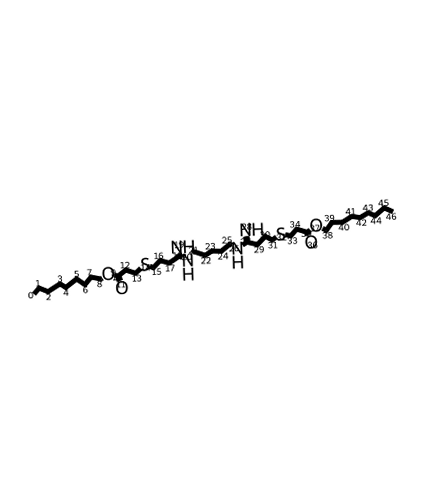 CCCCCCCCCOC(=O)CCSCCCC(=N)NCCCCCNC(=N)CCCSCCC(=O)OCCCCCCCCC